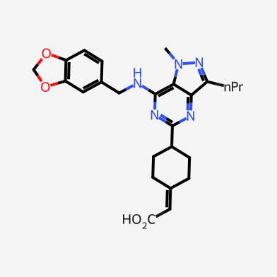 CCCc1nn(C)c2c(NCc3ccc4c(c3)OCO4)nc(C3CCC(=CC(=O)O)CC3)nc12